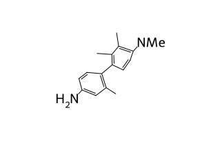 CNc1ccc(-c2ccc(N)cc2C)c(C)c1C